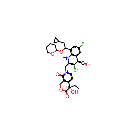 CC[C@@]1(O)C(=O)OCc2c1ccn(CC1=C(Br)C(=C=O)c3cc(F)cc(C(CC4CC4)OC4CCCCO4)c3N1C)c2=O